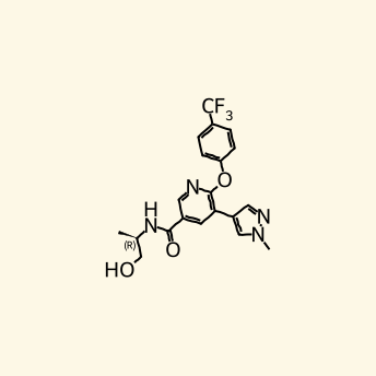 C[C@H](CO)NC(=O)c1cnc(Oc2ccc(C(F)(F)F)cc2)c(-c2cnn(C)c2)c1